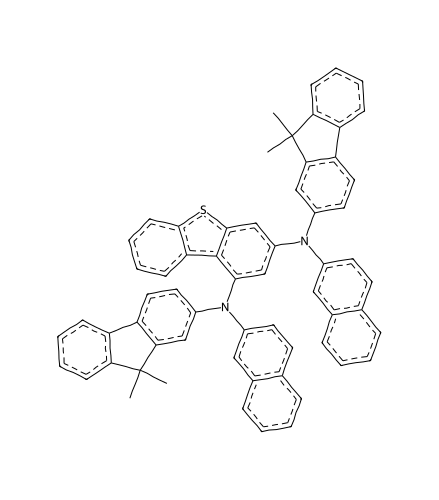 CC1(C)c2ccccc2-c2ccc(N(c3ccc4ccccc4c3)c3cc(N(c4ccc5c(c4)C(C)(C)c4ccccc4-5)c4ccc5ccccc5c4)c4c(c3)sc3ccccc34)cc21